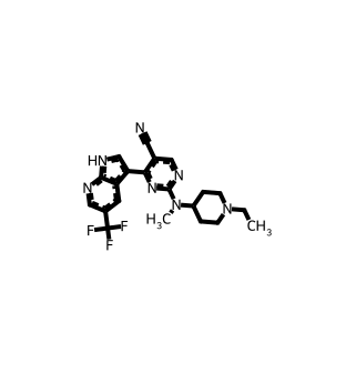 CCN1CCC(N(C)c2ncc(C#N)c(-c3c[nH]c4ncc(C(F)(F)F)cc34)n2)CC1